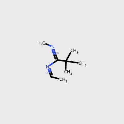 C/C=N\C(=N/C)C(C)(C)C